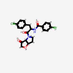 O=C(NC(Cc1ccc(Cl)cc1)C(=O)N1CCC2OCC(=O)C21)c1ccc(Br)cc1